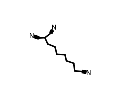 N#CCCCCCCCC(C#N)C#N